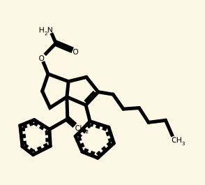 C=C(c1ccccc1)C12CCC(OC(N)=O)C1CC(CCCCCC)=C2c1ccccc1